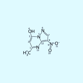 Cc1cc(O)n2ncc([N+](=O)[O-])c2n1